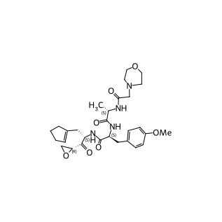 COc1ccc(C[C@H](NC(=O)[C@H](C)NC(=O)CN2CCOCC2)C(=O)N[C@@H](CC2=CCCC2)C(=O)[C@H]2CO2)cc1